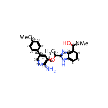 CNC(O)c1cccc2[nH]c(C(C)Oc3cc(-c4ccc(OC)cc4)cnc3N)nc12